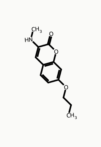 CCCOc1ccc2cc(NC)c(=O)oc2c1